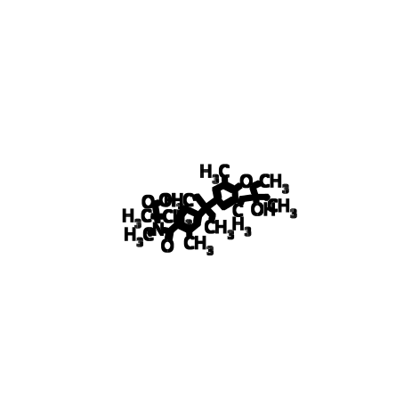 CCC(CC)(c1ccc(OC(C)C(O)(CC)CC)c(C)c1)c1ccc(C(=O)N(C)C(C)(C)C(=O)O)c(C)c1